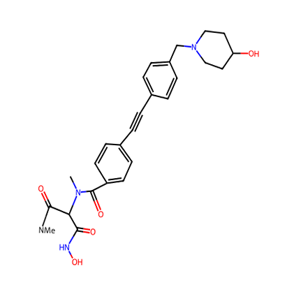 CNC(=O)C(C(=O)NO)N(C)C(=O)c1ccc(C#Cc2ccc(CN3CCC(O)CC3)cc2)cc1